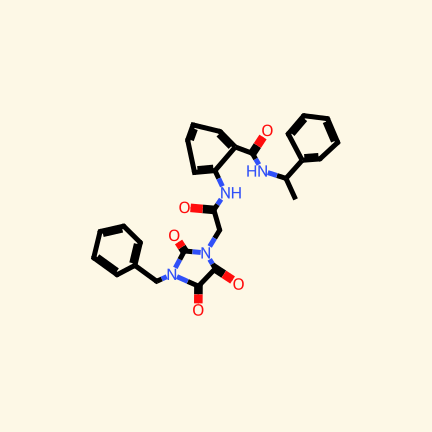 CC(NC(=O)c1ccccc1NC(=O)CN1C(=O)C(=O)N(Cc2ccccc2)C1=O)c1ccccc1